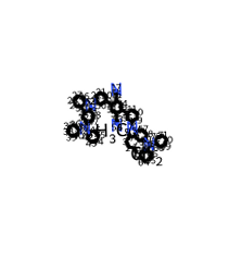 C=C/C=C\c1c(C)n(-c2cccc(-c3cc(C#N)c(-c4cccc(N5c6ccccc6C6C=C(N(c7ccccc7)c7ccccc7)C=CC65)c4)cc3C#N)c2)c2ccc(N(c3ccccc3)c3ccccc3)cc12